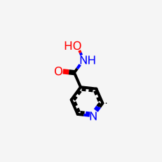 O=C(NO)c1c[c]ncc1